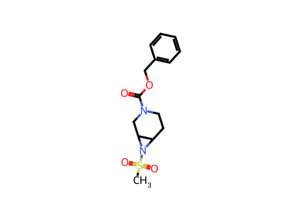 CS(=O)(=O)N1C2CCN(C(=O)OCc3ccccc3)CC21